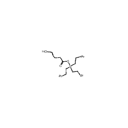 CC(C)CC[Si](CCC(C)C)(CCC(C)C)OC(=O)CCCO